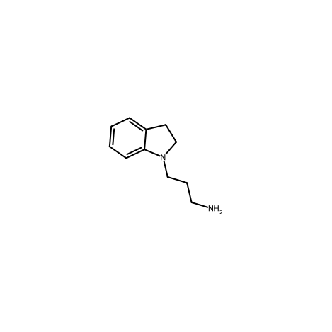 NCCCN1CCc2ccccc21